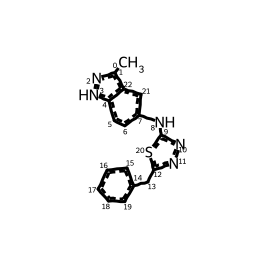 Cc1n[nH]c2ccc(Nc3nnc(Cc4ccccc4)s3)cc12